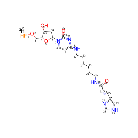 [3H]POCC1OC(n2ccc(NCCCCCCNC(=O)/C=C/c3c[nH]cn3)nc2=O)CC1O